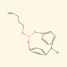 CCCCCCCCCCCCCOP1Oc2ccc(cc2)C(CC)c2ccc(cc2)O1